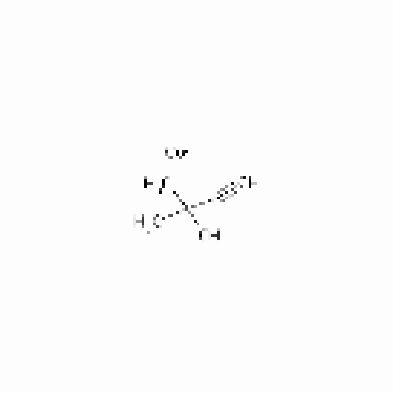 C#CC(C)(C)C.[Co]